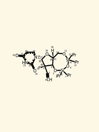 C#C[C@@]1(F)C2O[Si](C(C)C)(C(C)C)O[Si](C(C)C)(C(C)C)OC[C@H]2O[C@H]1n1ccc(=O)[nH]c1=O